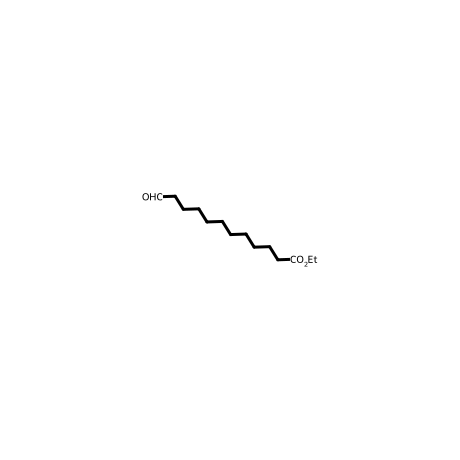 CCOC(=O)CCCCCCCCCCC=O